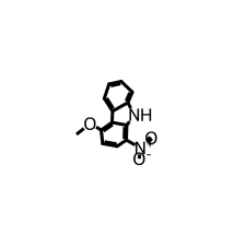 COc1ccc([N+](=O)[O-])c2[nH]c3ccccc3c12